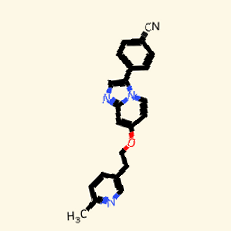 Cc1ccc(CCOc2ccn3c(-c4ccc(C#N)cc4)cnc3c2)cn1